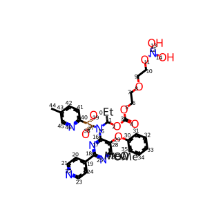 CCC(OC(=O)OCCOCCON(O)O)N(c1nc(-c2ccncc2)nc(OC)c1Oc1ccccc1OC)S(=O)(=O)c1ccc(C)cn1